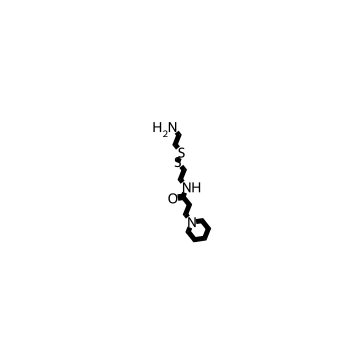 NCCSSCCNC(=O)CCN1CCCCC1